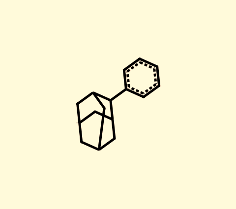 c1ccc(C2C3C[C]4CC(C3)CC2C4)cc1